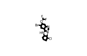 Fc1c(Cl)cccc1Nc1ncnc2cc(OC(F)F)c(Br)cc12